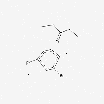 CCC(=O)CC.Fc1cccc(Br)c1